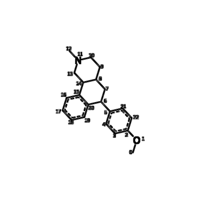 COc1ccc(C2CC3CCN(C)CC3c3ccccc32)cc1